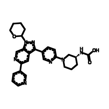 O=C(O)N[C@@H]1CCCN(c2ccc(-c3nn(C4CCCCO4)c4cnc(-c5cccnc5)cc34)cn2)C1